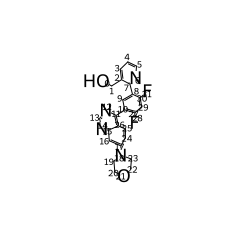 OCc1cccnc1-c1cc(-c2ncnc3cc(N4CCOCC4)ccc23)c(F)cc1F